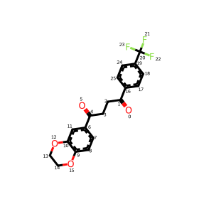 O=C(CCC(=O)c1ccc2c(c1)OCCO2)c1ccc(C(F)(F)F)cc1